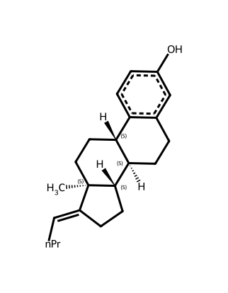 CCCC=C1CC[C@H]2[C@@H]3CCc4cc(O)ccc4[C@H]3CC[C@]12C